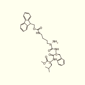 COC(=O)[C@H](CC(C)C)NC(=O)[C@H](Cc1ccccc1)NC(=O)[C@@H](N)CCCCNC(=O)OCC1c2ccccc2-c2ccccc21